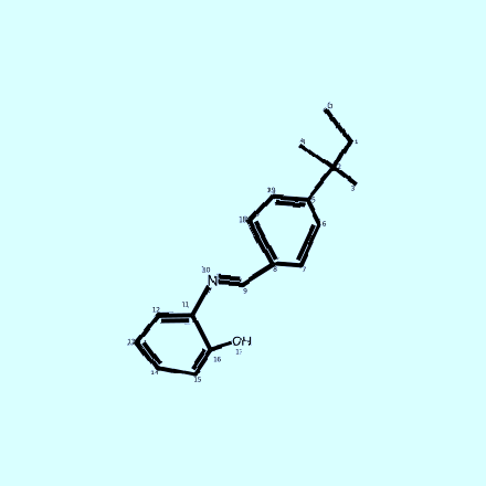 CCC(C)(C)c1ccc(C=Nc2ccccc2O)cc1